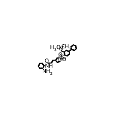 CN(C)Cc1cc(-c2ccccc2)ccc1S(=O)(=O)n1ccc(/C=C/C(=O)Nc2ccccc2N)c1